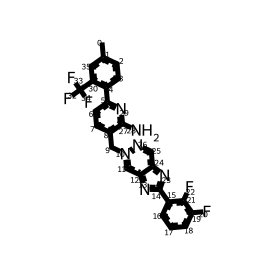 Cc1ccc(-c2ccc(Cn3cc4nc(-c5cccc(F)c5F)nc-4cn3)c(N)n2)c(C(F)(F)F)c1